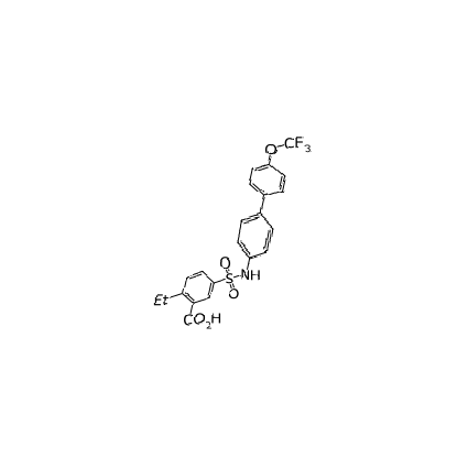 CCc1ccc(S(=O)(=O)Nc2ccc(-c3ccc(OC(F)(F)F)cc3)cc2)cc1C(=O)O